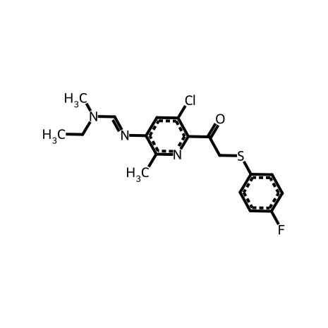 CCN(C)C=Nc1cc(Cl)c(C(=O)CSc2ccc(F)cc2)nc1C